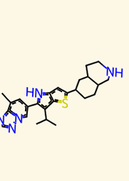 Cc1cc(-c2[nH]c3cc(C4CCC5CNCCC5C4)sc3c2C(C)C)cn2ncnc12